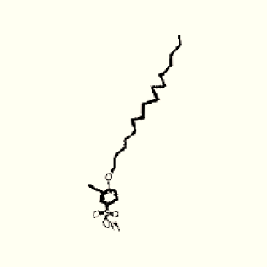 CCCCCCCCCCCCCCCCOc1ccc(S(=O)(=O)O)cc1C